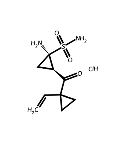 C=CC1(C(=O)[C@H]2C[C@@]2(N)S(N)(=O)=O)CC1.Cl